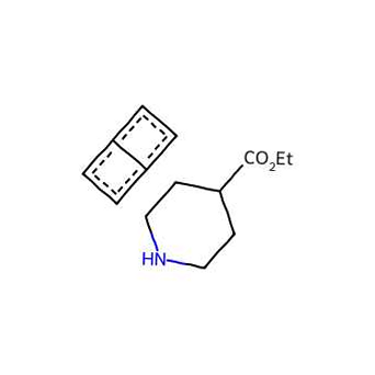 CCOC(=O)C1CCNCC1.c1cc2ccc1-2